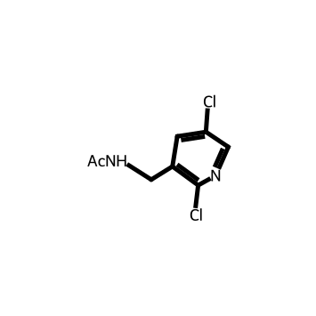 CC(=O)NCc1cc(Cl)cnc1Cl